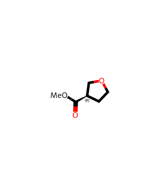 COC(=O)[C@@H]1CCOC1